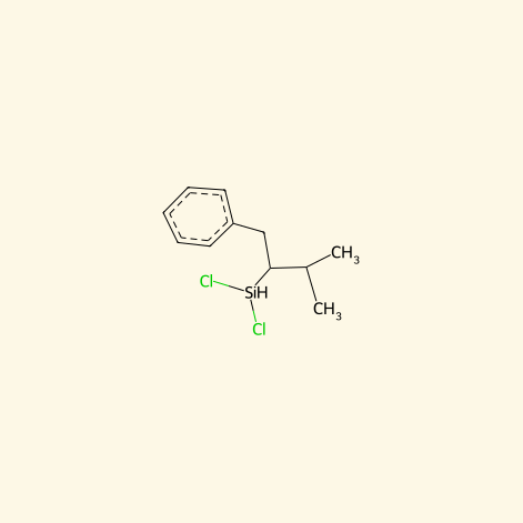 CC(C)C(Cc1ccccc1)[SiH](Cl)Cl